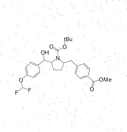 COC(=O)c1ccc(CC2CCC(C(O)c3ccc(OC(F)F)cc3)N2C(=O)OC(C)(C)C)cc1